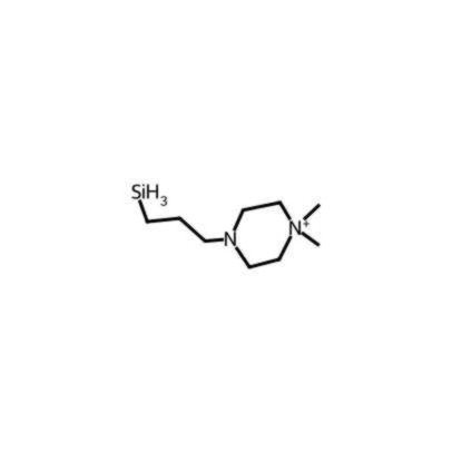 C[N+]1(C)CCN(CCC[SiH3])CC1